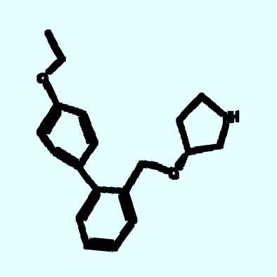 CCOc1ccc(-c2ccccc2CO[C@H]2CCNC2)cc1